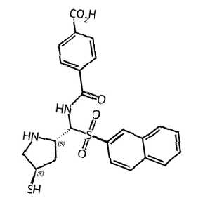 O=C(O)c1ccc(C(=O)NC([C@@H]2C[C@@H](S)CN2)S(=O)(=O)c2ccc3ccccc3c2)cc1